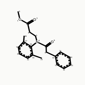 COC(=O)CCN(C(=O)Cc1ccccc1)c1c(C)cccc1C